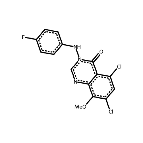 COc1c(Cl)cc(Cl)c2c(=O)n(Nc3ccc(F)cc3)cnc12